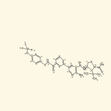 CC(C)(C)C1[C@@H](NC(=O)c2nc(-c3cccc(C(=O)NCc4ccc(OC(F)(F)F)cc4)c3)cnc2N)CCN1C(=O)O